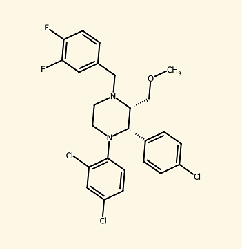 COC[C@@H]1[C@H](c2ccc(Cl)cc2)N(c2ccc(Cl)cc2Cl)CCN1Cc1ccc(F)c(F)c1